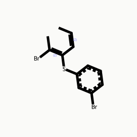 C/C=C\C(Sc1cccc(Br)c1)=C(/C)Br